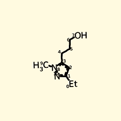 CCc1cc(CCCO)n(C)n1